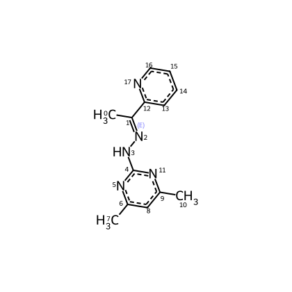 C/C(=N\Nc1nc(C)cc(C)n1)c1ccccn1